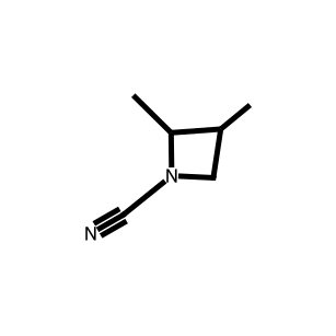 CC1CN(C#N)C1C